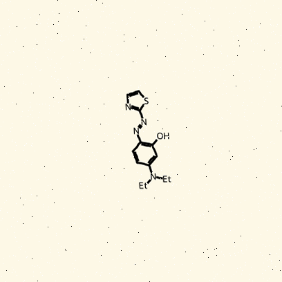 CCN(CC)c1ccc(N=Nc2nccs2)c(O)c1